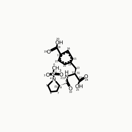 CS(=O)(=O)N1CCC[C@H]1C(=O)N[C@@H](Cc1ccc(C(=O)O)cc1)C(=O)O